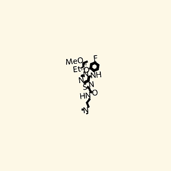 CC[C@H](Oc1cc(F)ccc1Nc1ncnc2sc(C(=O)NCCCN(C)C)nc12)[C@H](C)OC